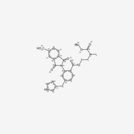 CN(CCOC(=O)c1ccc(Cc2c[nH]cn2)cc1N1C(=O)c2ccc(C(=O)O)cc2C1=O)C(=O)OC(C)(C)C